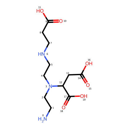 NCCN(CCNCCC(=O)O)C(CC(=O)O)C(=O)O